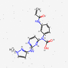 C=CC(=O)Nc1cccc(N(C(=O)O)c2ccnc(Nc3ccn(C)n3)n2)c1